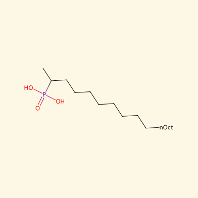 CCCCCCCCCCCCCCCCC(C)P(=O)(O)O